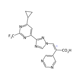 O=C(O)/C(=C/n1cnc(-c2cc(C3CC3)nc(C(F)(F)F)n2)n1)c1cncnc1